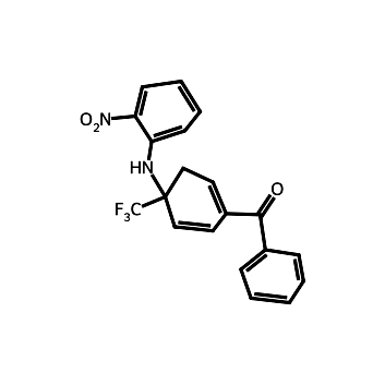 O=C(C1=CCC(Nc2ccccc2[N+](=O)[O-])(C(F)(F)F)C=C1)c1ccccc1